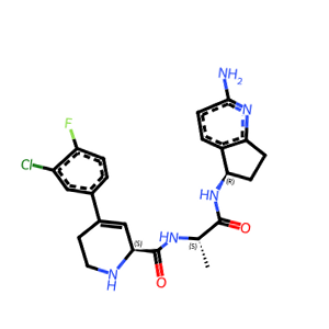 C[C@H](NC(=O)[C@@H]1C=C(c2ccc(F)c(Cl)c2)CCN1)C(=O)N[C@@H]1CCc2nc(N)ccc21